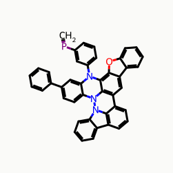 C=Pc1cccc(-n2c3cc(-c4ccccc4)ccc3n3n4c5ccccc5c5cccc(c6cc7c8ccccc8oc7c2c6-3)c54)c1